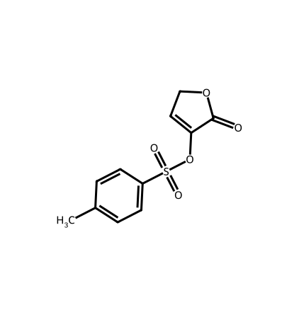 Cc1ccc(S(=O)(=O)OC2=CCOC2=O)cc1